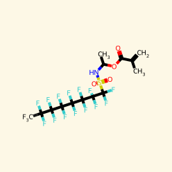 C=C(C)C(=O)OC(C)NS(=O)(=O)C(F)(F)C(F)(F)C(F)(F)C(F)(F)C(F)(F)C(F)(F)C(F)(F)C(F)(F)F